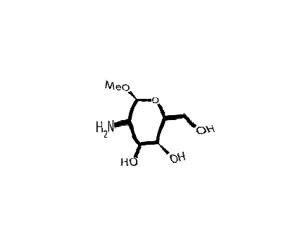 CO[C@H]1OC(CO)[C@@H](O)C(O)C1N